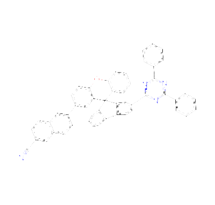 N#Cc1ccc2cc(-c3ccc4c(c3)C3(c5ccccc5O4)c4ccccc4-c4ccc(-c5nc(-c6ccccc6)nc(-c6ccccc6)n5)cc43)ccc2c1